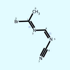 C/C(Br)=N\C=N/C#N